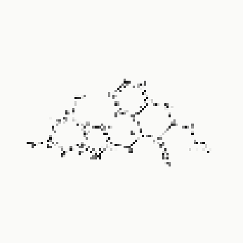 O=C(O)CC1Sc2ccccc2N(Cc2nc3cc(Cl)cc(F)c3s2)C1=O